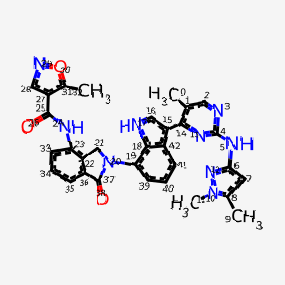 Cc1cnc(Nc2cc(C)n(C)n2)nc1-c1c[nH]c2c(N3Cc4c(NC(=O)c5cnoc5C)cccc4C3=O)cccc12